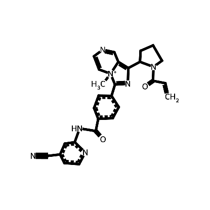 C=CC(=O)N1CCCC1C1=C2C=NC=C[N+]2(C)C(c2ccc(C(=O)Nc3cc(C#N)ccn3)cc2)=N1